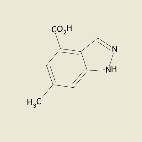 Cc1cc(C(=O)O)c2cn[nH]c2c1